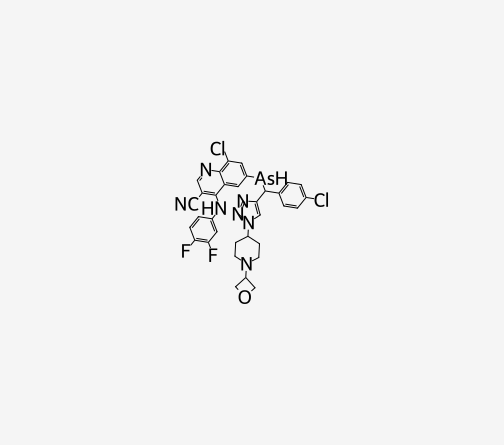 N#Cc1cnc2c(Cl)cc([AsH]C(c3ccc(Cl)cc3)c3cn(C4CCN(C5COC5)CC4)nn3)cc2c1Nc1ccc(F)c(F)c1